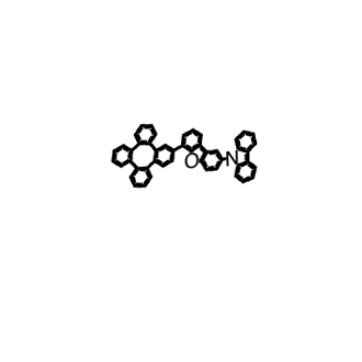 c1ccc2c(c1)-c1ccccc1-c1ccc(-c3cccc4c3oc3ccc(-n5c6ccccc6c6ccccc65)cc34)cc1-c1ccccc1-2